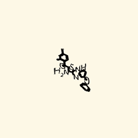 Cc1ccc(C(=O)c2sc(Nc3ccc(Oc4ccccc4)cc3)c(C#N)c2N)c(C)c1